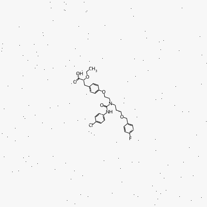 CCOC(Cc1ccc(OCCN(CCCOCc2ccc(F)cc2)C(=O)Nc2ccc(Cl)cc2)cc1)C(=O)O